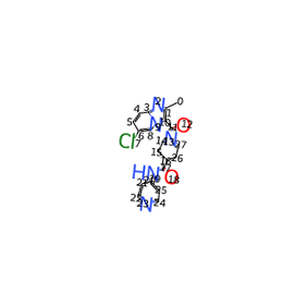 Cc1nc2ccc(Cl)cn2c1C(=O)N1CCC(C(=O)Nc2ccncc2)CC1